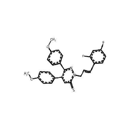 COc1ccc(-c2cc(=S)n(C/C=C/c3ccc(F)cc3F)nc2-c2ccc(OC)cc2)cc1